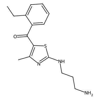 CCc1ccccc1C(=O)c1sc(NCCCN)nc1C